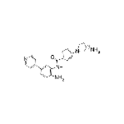 Nc1ccc(-c2ccncc2)cc1NC(=O)c1ccc(N2CC[C@H](N)C2)cc1